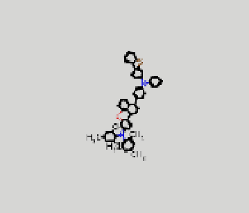 Cc1cc(C)c(N(c2ccc3c(c2)Oc2cccc4c(-c5ccc(N(c6ccccc6)c6ccc7c(c6)sc6ccccc67)cc5)ccc-3c24)c2c(C)cc(C)cc2C)c(C)c1